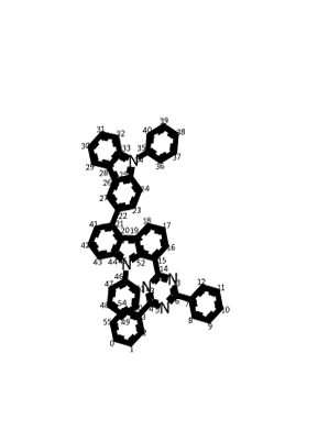 c1ccc(-c2nc(-c3ccccc3)nc(-c3cccc4c5c(-c6ccc7c(c6)c6ccccc6n7-c6ccccc6)cccc5n(-c5ccccc5)c34)n2)cc1